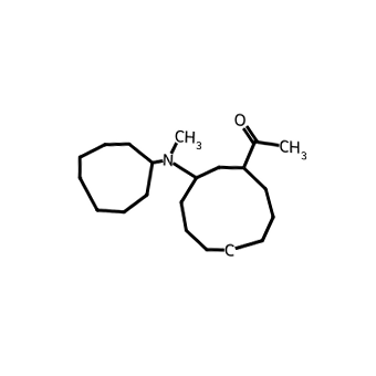 CC(=O)C1CCCCCCCC(N(C)C2CCCCCCC2)C1